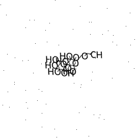 C#CCOCCOC1OC(CO)C(OC2OC(CO)C(O)C(O)C2O)C(O)C1O